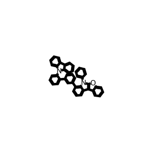 c1ccc(-n2c3oc4ccccc4c3c3cccc(-c4cccc(-c5ccccc5-n5c6ccccc6c6ccccc65)c4)c32)cc1